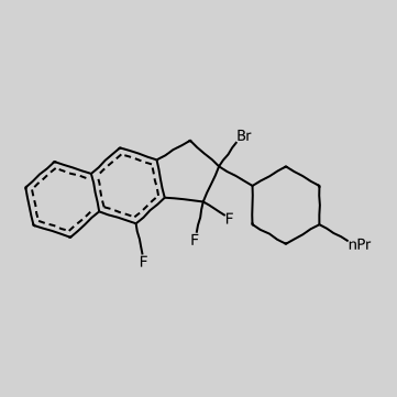 CCCC1CCC(C2(Br)Cc3cc4ccccc4c(F)c3C2(F)F)CC1